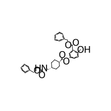 O=C(NC[C@H]1CC[C@H](C(=O)Oc2ccc(O)c(C(=O)OCc3ccccc3)c2)CC1)OCc1ccccc1